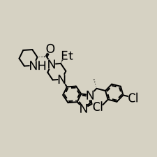 CC[C@@H]1CN(c2ccc3ncn([C@H](C)c4ccc(Cl)cc4Cl)c3c2)CCN1C(=O)[C@H]1CCCCN1